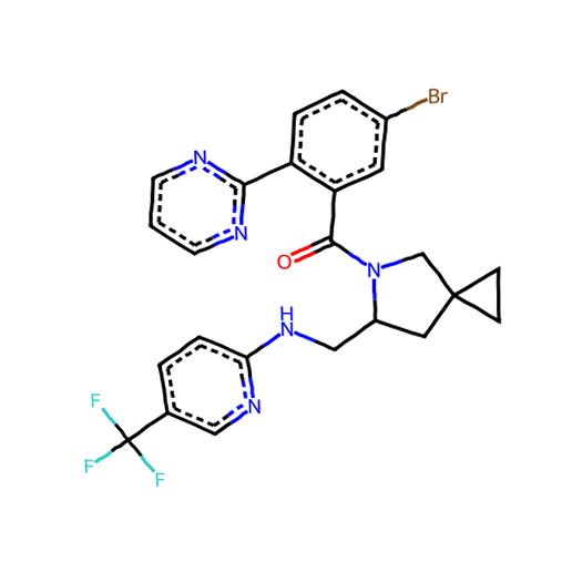 O=C(c1cc(Br)ccc1-c1ncccn1)N1CC2(CC2)CC1CNc1ccc(C(F)(F)F)cn1